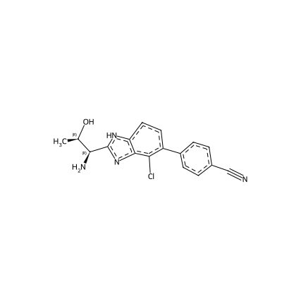 C[C@@H](O)[C@H](N)c1nc2c(Cl)c(-c3ccc(C#N)cc3)ccc2[nH]1